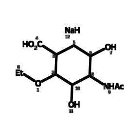 CCOC1C(C(=O)O)CC(O)C(NC(C)=O)C1O.[NaH]